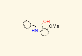 COc1cccc(NCc2ccccc2)c1CO